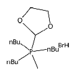 Br.CCCCP(C)(CCCC)(CCCC)C1OCCO1